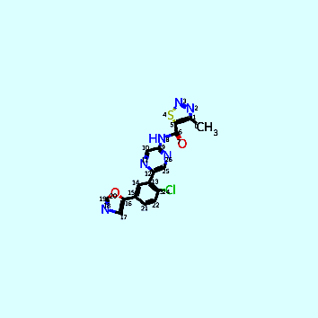 Cc1nnsc1C(=O)Nc1cnc(-c2cc(-c3cnco3)ccc2Cl)cn1